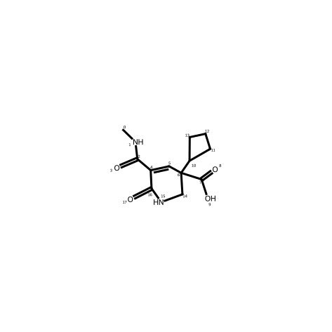 CNC(=O)C1=CC(C(=O)O)(C2CCC2)CNC1=O